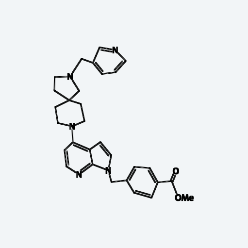 COC(=O)c1ccc(Cn2ccc3c(N4CCC5(CCN(Cc6cccnc6)C5)CC4)ccnc32)cc1